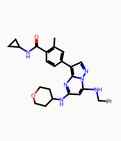 Cc1cc(-c2cnn3c(NCC(C)C)cc(NC4CCOCC4)nc23)ccc1C(=O)NC1CC1